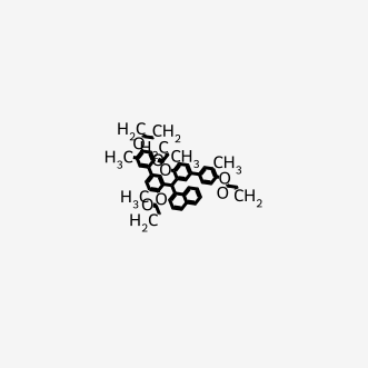 C=CC(=C)Oc1ccc(-c2cc(C)c(OC(=O)C=C)c(C(c3cc(-c4ccc(OC(=O)C=C)c(C)c4)cc(C)c3OC(=O)C=C)c3cccc4ccccc34)c2)cc1C